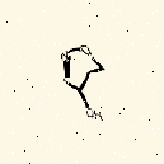 OC1CON=N1